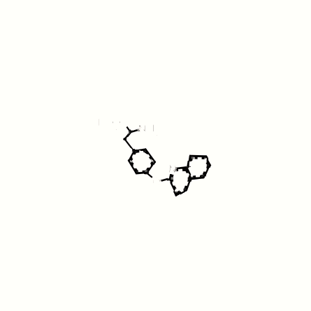 NC(Cc1ccc(Oc2ccc3ccccc3n2)cc1)C(=O)O